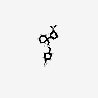 CN(C)c1cccc(C2(CNCc3ccc(O)cc3)CCCCC2)c1